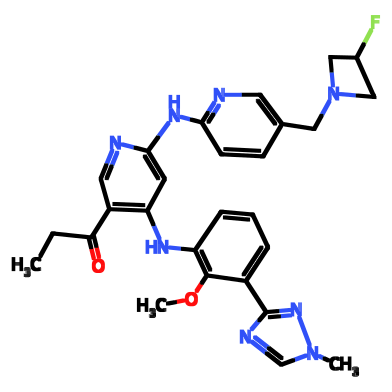 CCC(=O)c1cnc(Nc2ccc(CN3CC(F)C3)cn2)cc1Nc1cccc(-c2ncn(C)n2)c1OC